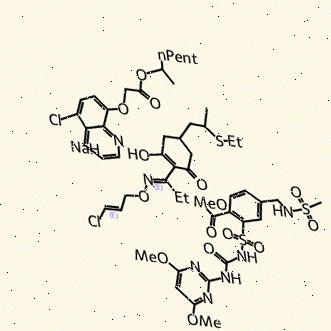 CCCCCC(C)OC(=O)COc1ccc(Cl)c2cccnc12.CCSC(C)CC1CC(=O)C(/C(CC)=N/OC/C=C/Cl)=C(O)C1.COC(=O)c1ccc(CNS(C)(=O)=O)cc1S(=O)(=O)NC(=O)Nc1nc(OC)cc(OC)n1.[NaH]